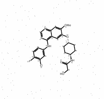 COc1cc2ncnc(Nc3ccc(F)c(Cl)c3)c2cc1O[C@H]1CC[C@H](NC(=O)CO)CC1